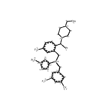 CC(C)C(c1ccc(C(F)(F)F)cc1CN(Cc1cc(C(F)(F)F)cc(C(F)(F)F)c1)c1nnn(C)n1)N1CCC(CO)CC1